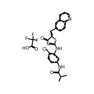 CC(C)C(=O)Nc1ccc(Cl)c(NC2=NC(=O)/C(=C/c3ccc4ncccc4c3)S2)c1.O=C(O)C(F)(F)F